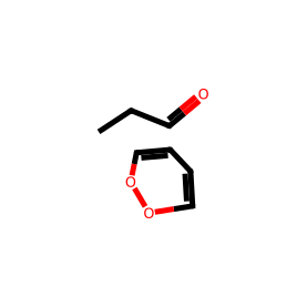 C1=COOC=C1.CCC=O